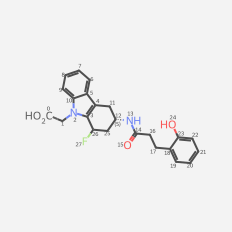 O=C(O)Cn1c2c(c3ccccc31)C[C@H](NC(=O)CCc1ccccc1O)CC2F